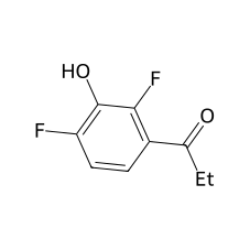 CCC(=O)c1ccc(F)c(O)c1F